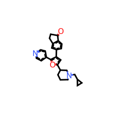 O=C1CCc2cc(-c3cc(C4CCCN(CC5CC5)C4)oc3-c3ccncc3)ccc21